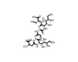 CC(CC(=O)N[C@H](C(=O)N[C@@H](CC(=O)N[C@H](C(=O)N[C@@H](CS)C(=O)O)[C@@H](O)[C@H](O)[C@H](O)CO)C(=O)O)[C@@H](O)[C@H](O)[C@H](O)CO)C(=O)O